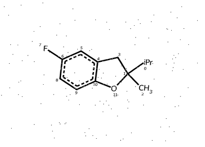 CC(C)C1(C)Cc2cc(F)ccc2O1